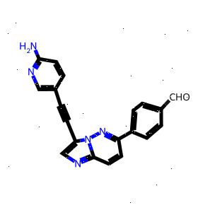 Nc1ccc(C#Cc2cnc3ccc(-c4ccc(C=O)cc4)nn23)cn1